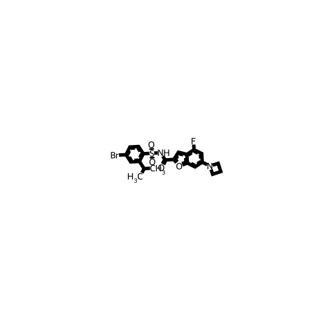 CC(C)c1cc(Br)ccc1S(=O)(=O)NC(=O)c1cc2c(F)cc(N3CCC3)cc2o1